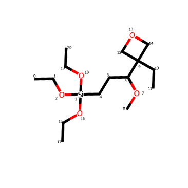 CCO[Si](CCC(OC)C1(CC)COC1)(OCC)OCC